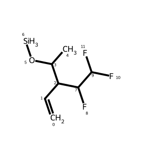 C=CC(C(C)O[SiH3])C(F)C(F)F